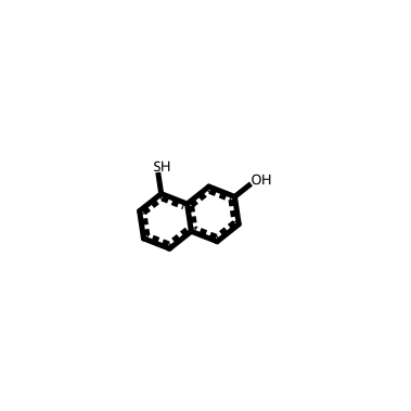 Oc1ccc2cccc(S)c2c1